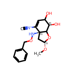 [C-]#[N+]C1=CC(O)[C@@H](O)C2O[C@H](OC)C[C@]12NOCc1ccccc1